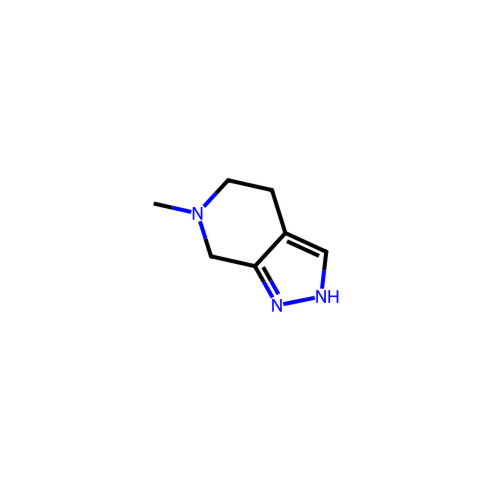 CN1CCc2c[nH]nc2C1